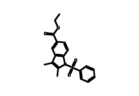 CCOC(=O)c1ccc2c(c1)c(C)c(C)n2S(=O)(=O)c1ccccc1